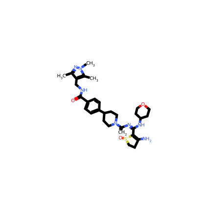 C=C(/N=C(/NC1CCOCC1)C1=C(N)CC[S+]1[O-])N1CCC(c2ccc(C(=O)NCc3c(C)nn(C)c3C)cc2)CC1